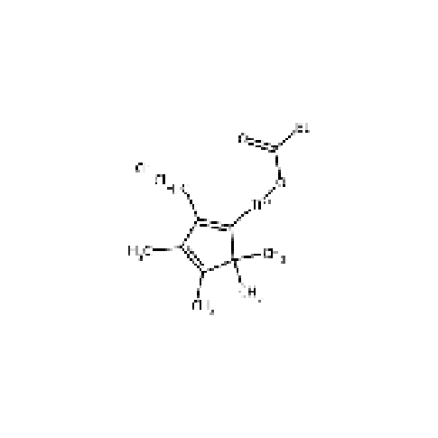 CCC(=O)[O][Ti+2][C]1=C(C)C(C)=C(C)C1(C)C.[Cl-].[Cl-]